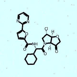 O=C(N[C@H](C(=O)N1C[C@H](Cl)[C@H]2OCC(=O)[C@H]21)C1CCCCC1)c1ccc(-c2ncccn2)o1